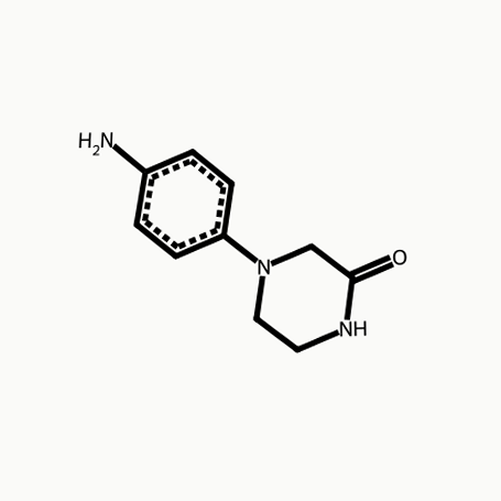 Nc1ccc(N2CCNC(=O)C2)cc1